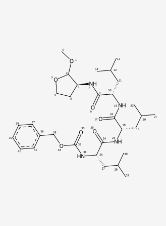 COC1OCC[C@@H]1NC(=O)[C@H](CC(C)C)NC(=O)[C@H](CC(C)C)NC(=O)[C@H](CC(C)C)NC(=O)OCc1ccccc1